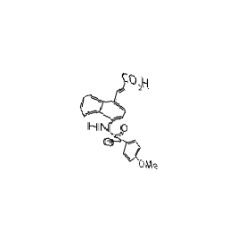 COc1ccc(S(=O)(=O)Nc2ccc(C=CC(=O)O)c3ccccc23)cc1